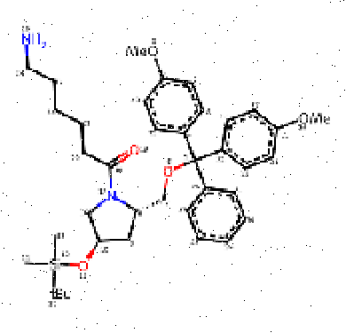 COc1ccc(C(OC[C@@H]2C[C@@H](O[Si](C)(C)C(C)(C)C)CN2C(=O)CCCCCN)(c2ccccc2)c2ccc(OC)cc2)cc1